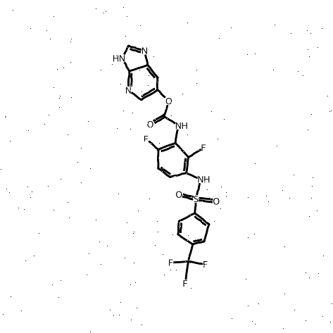 O=C(Nc1c(F)ccc(NS(=O)(=O)c2ccc(C(F)(F)F)cc2)c1F)Oc1cnc2[nH]cnc2c1